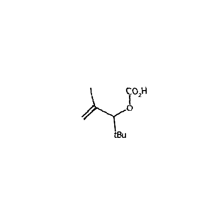 C=C(C)C(OC(=O)O)C(C)(C)C